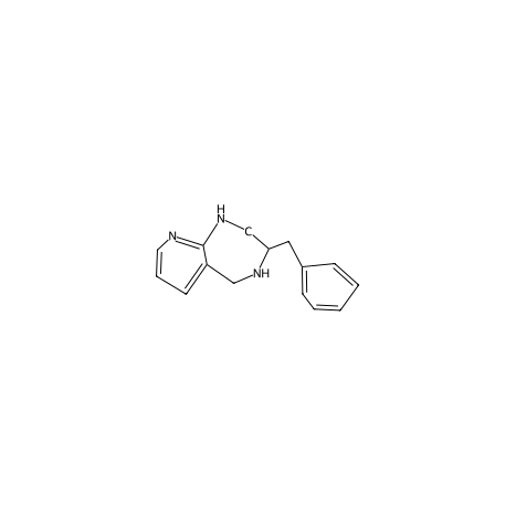 c1ccc(CC2CNc3ncccc3CN2)cc1